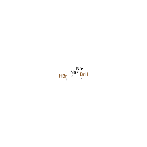 Br.Br.[Na].[Na]